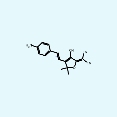 CC1(C)OC(=C(C#N)C#N)C(C#N)=C1/C=C/c1ccc(N)cc1